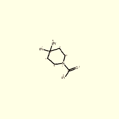 CC(C)C(=O)N1CCC(C(C)C)(C(C)C)CC1